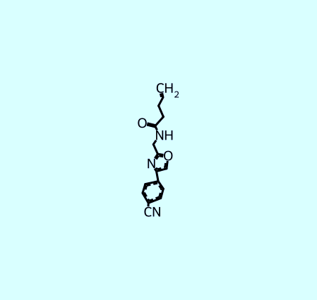 C=CCCC(=O)NCc1nc(-c2ccc(C#N)cc2)co1